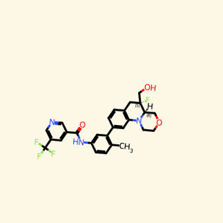 Cc1ccc(NC(=O)c2cncc(C(F)(F)F)c2)cc1-c1ccc2c(c1)N1CCOC[C@@H]1[C@](F)(CO)C2